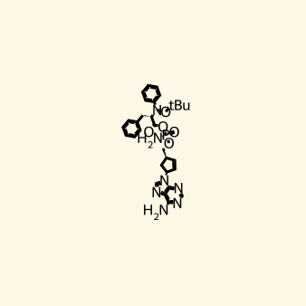 CC(C)(C)ON(c1ccccc1)[C@@H](Cc1ccccc1)C(=O)OP(N)(=O)OC[C@H]1C=C[C@@H](n2cnc3c(N)ncnc32)C1